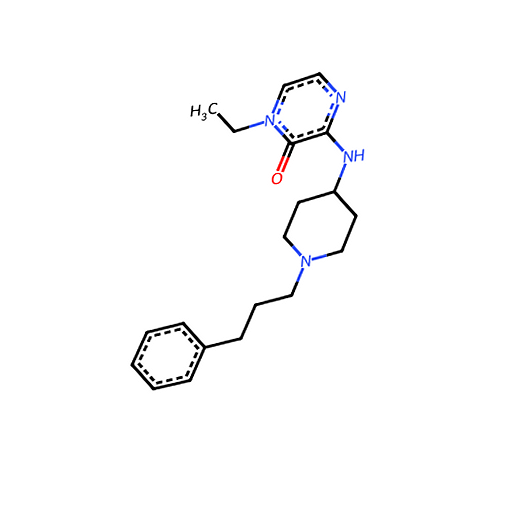 CCn1ccnc(NC2CCN(CCCc3ccccc3)CC2)c1=O